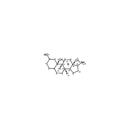 C[C@]12CC(O)CCC1CC[C@@H]1[C@H]2CC[C@]2(C)C(N)CC[C@@H]12